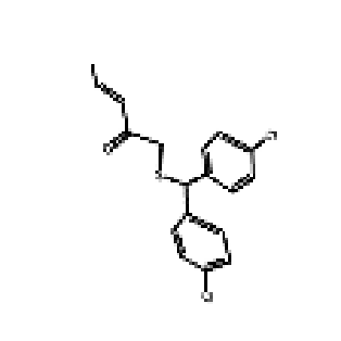 CC=CC(=O)CSC(c1ccc(Cl)cc1)c1ccc(Cl)cc1